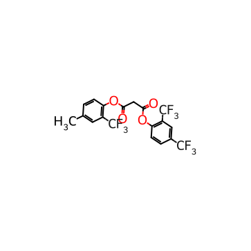 Cc1ccc(OC(=O)CC(=O)Oc2ccc(C(F)(F)F)cc2C(F)(F)F)c(C(F)(F)F)c1